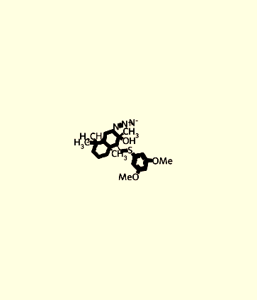 COc1cc(OC)cc(SC[C@H]2[C@@](C)(O)[C@H](N=[N+]=[N-])C[C@H]3C(C)(C)CCC[C@@]32C)c1